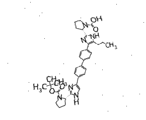 CCCc1[nH]c([C@@H]2CCCN2C(=O)O)nc1-c1ccc(-c2ccc(-c3c[nH]c([C@@H]4CCCN4C(=O)OC(C)(C)C)n3)cc2)cc1